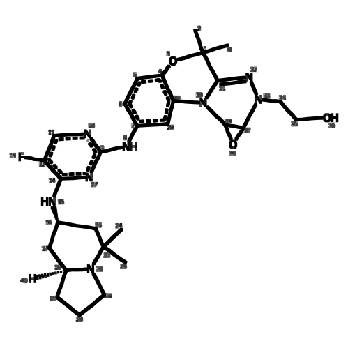 CC1(C)Oc2ccc(Nc3ncc(F)c(N[C@@H]4C[C@@H]5CCCN5C(C)(C)C4)n3)cc2N2C1=NN(CCO)C1OC12